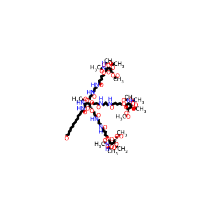 CC(=O)N[C@@H]1[C@@H](OCCC(=O)NCCCNC(=O)CCCCO[C@@H]2O[C@H](COC(C)=O)[C@H](OC(C)=O)[C@H](OC(C)=O)[C@H]2NC(C)=O)[C@H](OCCC(=O)NCCCNC(=O)CCCCO[C@@H]2O[C@H](COC(C)=O)[C@H](OC(C)=O)[C@H](OC(C)=O)[C@H]2NC(C)=O)[C@@H](COCCC(=O)NCCCNC(=O)CCCCO[C@@H]2O[C@H](COC(C)=O)[C@H](OC(C)=O)[C@H](OC(C)=O)[C@H]2NC(C)=O)O[C@H]1NC(=O)CCCCCCCCCCCCC=O